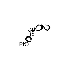 CCOc1ccc(-c2nnc(N3CCC(C)(N4CCCCC4)CC3)s2)cc1